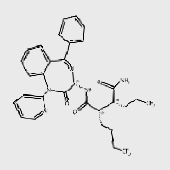 NC(=O)[C@H](CCC(F)(F)F)[C@H](CCCC(F)(F)F)C(=O)N[C@H]1N=C(c2ccccc2)c2ccccc2N(c2ccccn2)C1=O